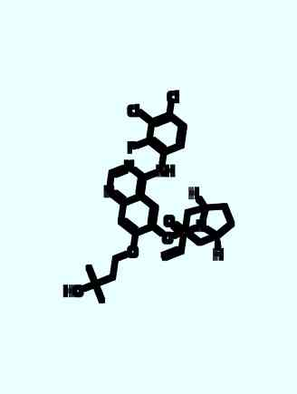 C=CC(=O)N1[C@@H]2CC[C@H]1C[C@H](Oc1cc3c(Nc4ccc(Cl)c(Cl)c4F)ncnc3cc1OCCC(C)(C)O)C2